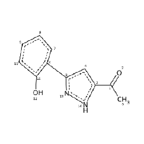 CC(=O)c1cc(-c2ccccc2O)n[nH]1